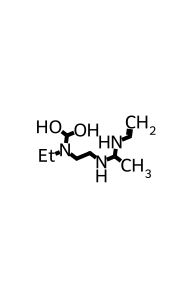 C=CNC(C)NCCN(CC)C(O)O